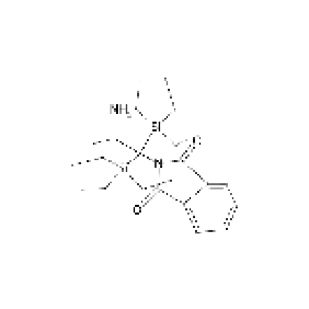 CC[Si](CC)(CC)C(C(C)N)(N1C(=O)c2ccccc2C1=O)[Si](CC)(CC)CC